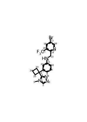 Cn1cnnc1C1(c2cccc(NCc3ncc(Br)cc3C(F)(F)F)c2)CCC1